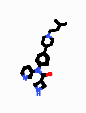 CC(C)CCN1CCC(c2ccc(N(C(=O)C3CNC3)c3cccnc3)cc2)CC1